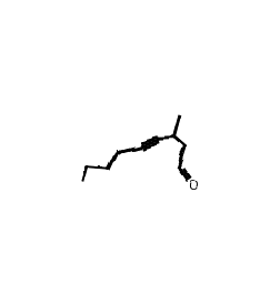 CCCCC#CC(C)CC=O